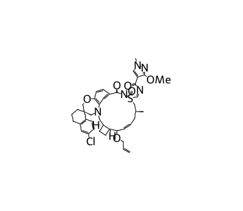 C=CCO[C@@H]1/C=C\C[C@H](C)CS(=O)(/C=N\C(=O)c2cn(C)nc2OC)=NC(=O)c2ccc3c(c2)N(C[C@@H]2CC[C@H]21)C[C@@]1(CCCc2cc(Cl)ccc21)CO3